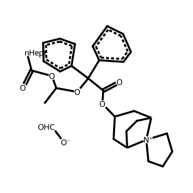 CCCCCCCC(=O)OC(C)OC(C(=O)OC1CC2CCC(C1)[N+]21CCCC1)(c1ccccc1)c1ccccc1.O=C[O-]